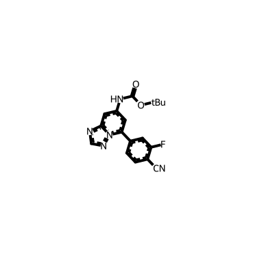 CC(C)(C)OC(=O)Nc1cc(-c2ccc(C#N)c(F)c2)n2ncnc2c1